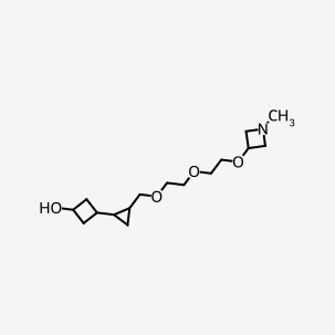 CN1CC(OCCOCCOCC2CC2C2CC(O)C2)C1